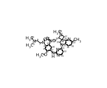 COc1cc(N(C)CCN(C)C)c([N+](=O)[O-])cc1Nc1nccc(N2CC3(CN(C)C3)c3nc(C)ccc32)n1